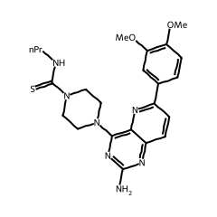 CCCNC(=S)N1CCN(c2nc(N)nc3ccc(-c4ccc(OC)c(OC)c4)nc23)CC1